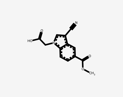 COC(=O)c1ccc2c(c1)c(C#N)cn2CC(=O)O